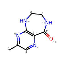 Cc1cnc2c(n1)NCCNC2=O